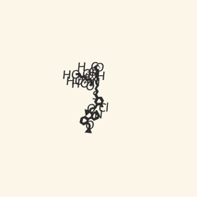 CS(=O)(=O)CCCN(CCCSc1ccc(Cl)c(COC2(c3cnccc3-c3ccccc3OC3CC3)CC2)c1)C(=O)[C@@H](O)[C@@H](O)[C@H](O)[C@@H](O)CO